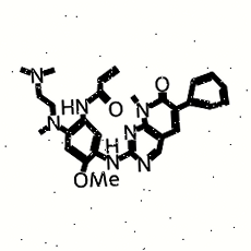 C=CC(=O)Nc1cc(Nc2ncc3cc(-c4ccccc4)c(=O)n(C)c3n2)c(OC)cc1N(C)CCN(C)C